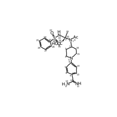 CC(=O)N(C1CCN(c2ccc(C(=N)N)cc2)CC1)[C@@](C)(NS(=O)(=O)c1ccccc1)C(=O)O